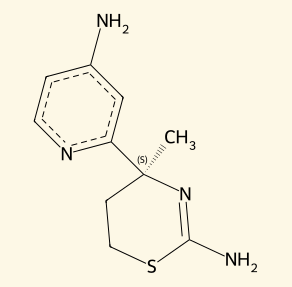 C[C@@]1(c2cc(N)ccn2)CCSC(N)=N1